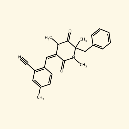 Cc1ccc(C=C2C(=O)N(C)C(C)(Cc3ccccc3)C(=O)N2C)c(C#N)c1